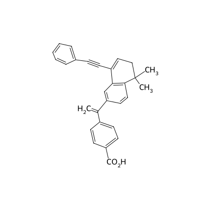 C=C(c1ccc(C(=O)O)cc1)c1ccc2c(c1)C(C#Cc1ccccc1)=CCC2(C)C